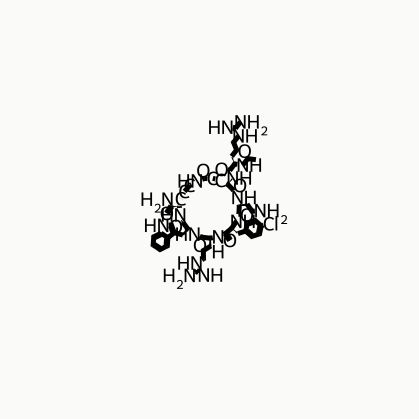 CC(=O)N[C@@H](CCCNC(=N)N)C(=O)N[C@H]1CCC(=O)NCCC[C@@H](C(N)=O)NC(=O)[C@H](Cc2c[nH]c3ccccc23)NC(=O)[C@H](CCCNC(=N)N)NC(=O)[C@@H](Cc2ccc(Cl)cc2)NC(=O)[C@H](CCN)NC1=O